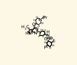 Cc1n[nH]c2nc(-c3ccc(NS(=O)(=O)c4cc(F)ccc4F)cc3)nc(OC3CCN(C(C)C)CC3)c12